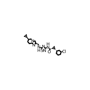 O=C(Nc1nsc(NCc2cn3cc(C4CC4)ccc3n2)n1)[C@H]1C[C@@H]1c1cccc(Cl)c1